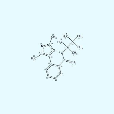 C=C(O[Si](C)(C)C(C)(C)C)c1ccccc1-c1oc(C)nc1C